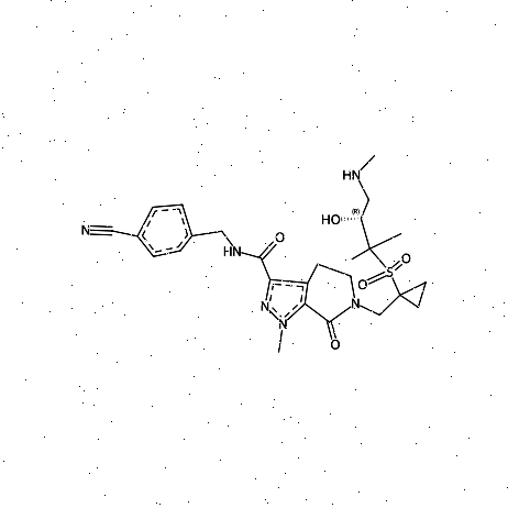 CNC[C@@H](O)C(C)(C)S(=O)(=O)C1(CN2CCc3c(C(=O)NCc4ccc(C#N)cc4)nn(C)c3C2=O)CC1